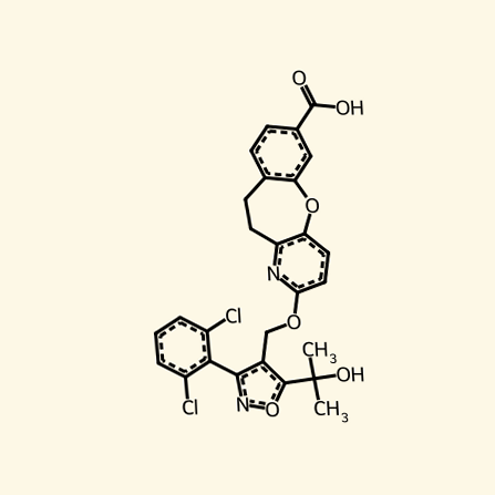 CC(C)(O)c1onc(-c2c(Cl)cccc2Cl)c1COc1ccc2c(n1)CCc1ccc(C(=O)O)cc1O2